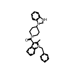 Cc1c(C(=O)N2CCC(N3[CH]Nc4ccccc43)CC2)c2ccccc2n1Cc1ccccc1